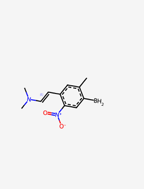 Bc1cc([N+](=O)[O-])c(/C=C/N(C)C)cc1C